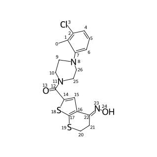 Cc1c(Cl)cccc1N1CCN(C(=O)c2cc3c(s2)SCCC3=NO)CC1